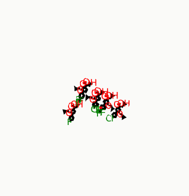 CC(C)CC(C(=O)O)c1ccc(-c2ccc(C(F)(F)F)cc2)c(OCC2CC2)c1.CC(C)CC(C(=O)O)c1ccc(-c2ccc(Cl)cc2)c(OCC2CC2)c1.CC(C)CC(C(=O)O)c1ccc(-c2ccc(F)cc2)c(OCC2CC2)c1.O=C(O)C(CC1CC1)c1ccc(-c2ccc(C(F)(F)F)cc2)c(OCC2CC2)c1.O=C(O)C(CC1CC1)c1ccc(-c2ccc(Cl)cc2)c(OCC2CC2)c1